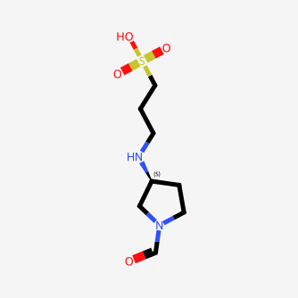 O=CN1CC[C@H](NCCCS(=O)(=O)O)C1